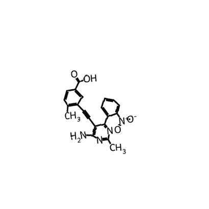 Cc1nc(N)c(C#Cc2cc(C(=O)O)ccc2C)c(-c2ccccc2[N+](=O)[O-])n1